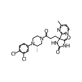 Cc1ccnc(C2(CCC(=O)N3CCN(c4ccc(Cl)c(Cl)c4)[C@@H](C)C3)NC(=O)NC2=O)n1